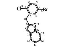 Clc1ccc(Br)cc1Cc1nc2ccccc2s1